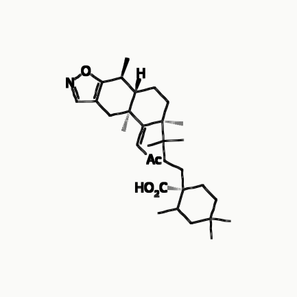 CC(=O)/C=C1/[C@@]2(C)Cc3cnoc3[C@@H](C)[C@@H]2CC[C@@]1(C)C(C)(C)CC[C@@]1(C(=O)O)CCC(C)(C)CC1C